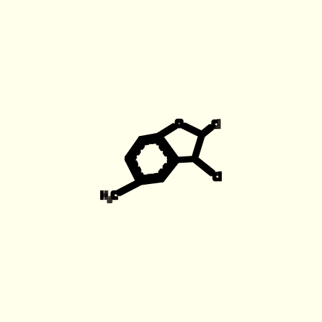 Cc1ccc2c(c1)C(Cl)C(Cl)O2